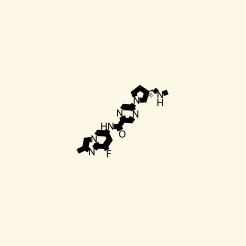 CNC[C@H]1CCN(c2cnc(C(=O)Nc3cc(F)c4nc(C)cn4c3)cn2)C1